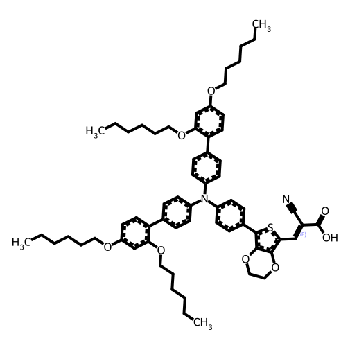 CCCCCCOc1ccc(-c2ccc(N(c3ccc(-c4ccc(OCCCCCC)cc4OCCCCCC)cc3)c3ccc(-c4sc(/C=C(\C#N)C(=O)O)c5c4OCCO5)cc3)cc2)c(OCCCCCC)c1